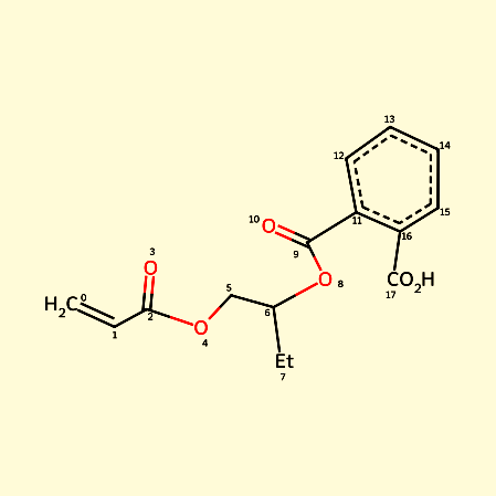 C=CC(=O)OCC(CC)OC(=O)c1ccccc1C(=O)O